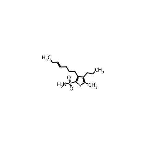 CCC=CCCCc1c(S(N)(=O)=O)sc(C)c1CCC